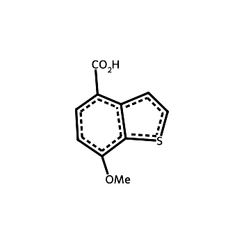 COc1ccc(C(=O)O)c2ccsc12